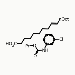 CC(C)OC(=O)Nc1cccc(Cl)c1.CCCCCCCCC=CCCCCCCCC(=O)O